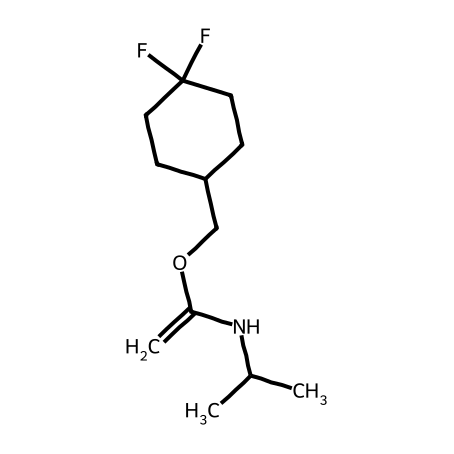 C=C(NC(C)C)OCC1CCC(F)(F)CC1